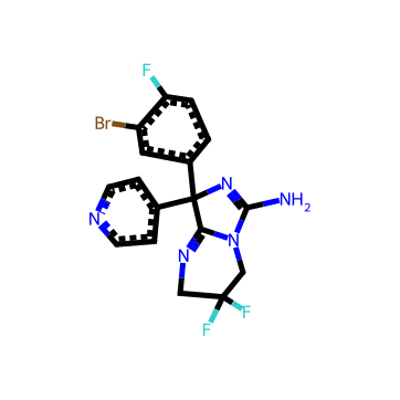 NC1=NC(c2ccncc2)(c2ccc(F)c(Br)c2)C2=NCC(F)(F)CN12